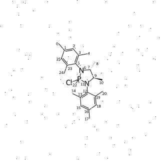 Cc1cc(C)c(N2[C@H](C)[C@@H](C)N(c3c(C)cc(C)cc3C)P2Cl)c(C)c1